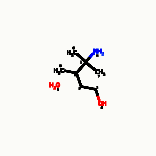 CC(CCO)C(C)(C)N.O